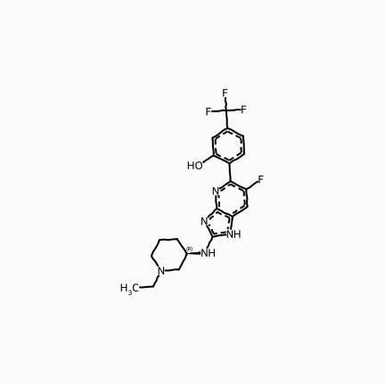 CCN1CCC[C@@H](Nc2nc3nc(-c4ccc(C(F)(F)F)cc4O)c(F)cc3[nH]2)C1